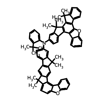 CC(C)(C)c1ccccc1N(c1ccc2c(c1)C(C)(C)c1cc3c(cc1-2)C(C)(C)c1ccc2oc4ccccc4c2c1-3)c1ccc2c(c1)C(C)(C)c1c3c(c4oc5ccccc5c4c1-2)-c1ccccc1C3(C)C